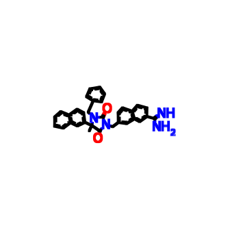 CC1(c2ccc3ccccc3c2)C(=O)N(Cc2ccc3ccc(C(=N)N)cc3c2)C(=O)N1Cc1ccccc1